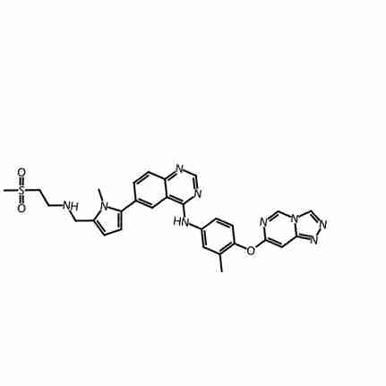 Cc1cc(Nc2ncnc3ccc(-c4ccc(CNCCS(C)(=O)=O)n4C)cc23)ccc1Oc1cc2nncn2cn1